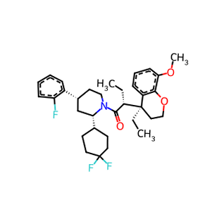 CC[C@@H](C(=O)N1CC[C@@H](c2ccccc2F)C[C@H]1C1CCC(F)(F)CC1)[C@]1(CC)CCOc2c(OC)cccc21